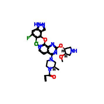 C=CC(=O)N1CCN(c2nc(O[C@@H]3CNC[C@H]3OC)nc3c(Oc4c(Cl)c(F)cc5[nH]ncc45)nccc23)C[C@H]1C